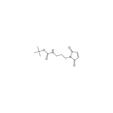 CC(C)(C)OC(=O)NCC[CH]N1C(=O)C=CC1=O